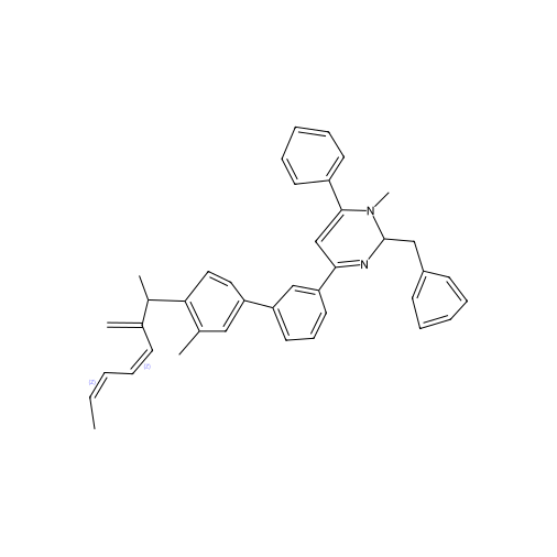 C=C(/C=C\C=C/C)C(C)c1ccc(-c2cccc(C3=NC(Cc4ccccc4)N(C)C(c4ccccc4)=C3)c2)cc1C